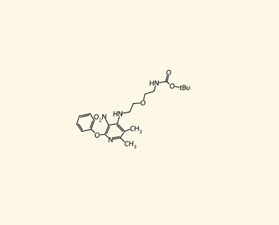 Cc1nc(Oc2ccccc2)c([N+](=O)[O-])c(NCCOCCNC(=O)OC(C)(C)C)c1C